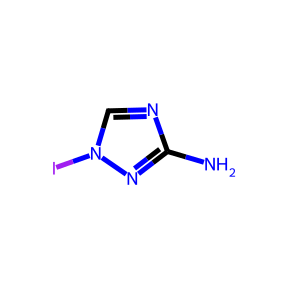 Nc1ncn(I)n1